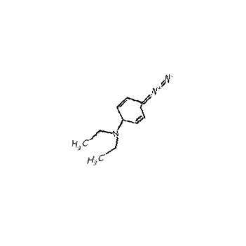 CCN(CC)C1C=CC(=[N+]=[N-])C=C1